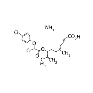 C=C(C)C(CCC(C)=CC=CC(=O)O)OC(=O)C(Cl)Oc1ccc(Cl)cc1.N